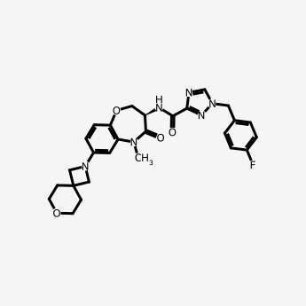 CN1C(=O)[C@H](NC(=O)c2ncn(Cc3ccc(F)cc3)n2)COc2ccc(N3CC4(CCOCC4)C3)cc21